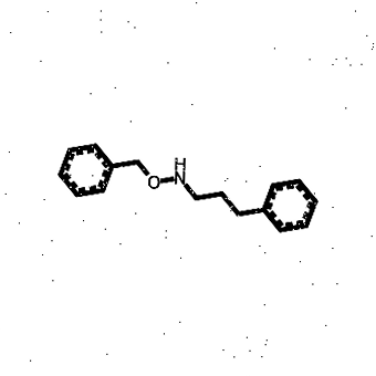 c1ccc(CCCNOCc2ccccc2)cc1